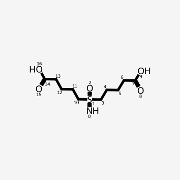 N=S(=O)(CCCCC(=O)O)CCCCC(=O)O